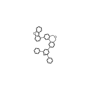 c1ccc(-c2cc(-c3ccc4c(c3)-c3cc(-c5cccc6oc7ccccc7c56)ccc3COC4)cc(-c3ccccc3)n2)cc1